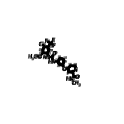 CNC(=O)c1cc(Oc2cccc(NC(=O)Nc3cc(C(F)(F)F)c(Cl)cc3OC)c2)ccn1